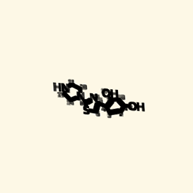 Oc1ccc(-c2csc(N3CCNCC3)n2)c(O)c1